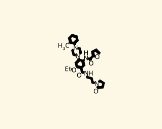 CCOc1cc(N2CCN(c3ccccc3C)CC2)c(NC(=O)c2ccco2)cc1C(=O)NCCCN1CCCC1=O